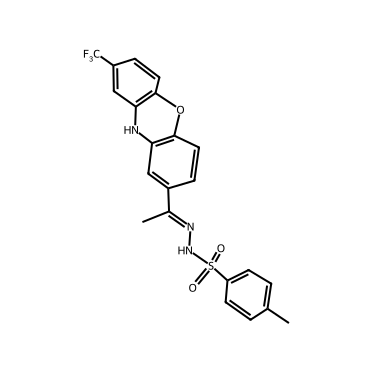 C/C(=N\NS(=O)(=O)c1ccc(C)cc1)c1ccc2c(c1)Nc1cc(C(F)(F)F)ccc1O2